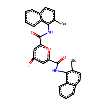 CC(C)(C)c1ccc2ccccc2c1NC(=O)c1cc(=O)cc(C(=O)Nc2c(C(C)(C)C)ccc3ccccc23)o1